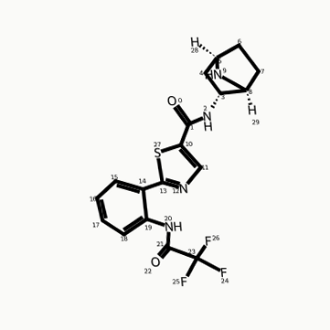 O=C(N[C@@H]1C[C@H]2CC[C@@H]1N2)c1cnc(-c2ccccc2NC(=O)C(F)(F)F)s1